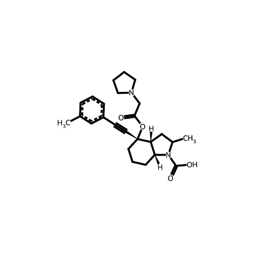 Cc1cccc(C#C[C@]2(OC(=O)CN3CCCC3)CCC[C@@H]3[C@H]2CC(C)N3C(=O)O)c1